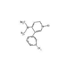 CCN1C=C(c2cccc(C(F)(F)F)c2)C(N(C)C)=CC1